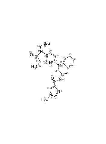 Cn1cnc(C(=O)NC2Cc3ccccc3N(c3ccc4c(n3)n(C)c(=O)n4CC(C)(C)C)C2)c1